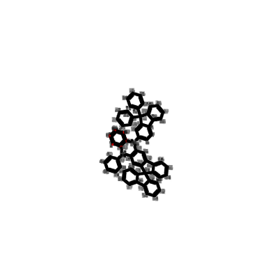 c1ccc(N(c2ccc3c(c2)C(c2ccccc2)(c2ccccc2)c2ccccc2-3)c2cc3c(cc2N(c2ccccc2)c2ccccc2)C2(c4ccccc4-c4ccccc42)c2ccccc2-3)cc1